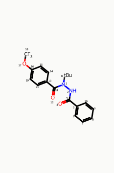 CC(C)(C)N(NC(=O)c1ccccc1)C(=O)c1ccc(OC(F)(F)F)cc1